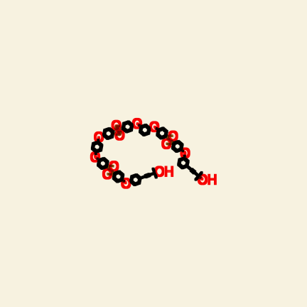 CC(C)(O)C#Cc1ccc(Oc2ccc(S(=O)(=O)c3ccc(Oc4ccc(Oc5ccc(S(=O)(=O)c6ccc(Oc7cccc(Oc8ccc(S(=O)(=O)c9ccc(Oc%10cccc(C#CC(C)(C)O)c%10)cc9)cc8)c7)cc6)cc5)cc4)cc3)cc2)cc1